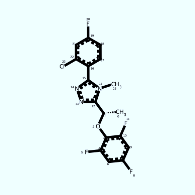 C[C@H](Oc1c(F)cc(F)cc1F)c1nnc(-c2ccc(F)cc2Cl)n1C